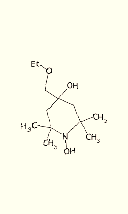 CCOCC1(O)CC(C)(C)N(O)C(C)(C)C1